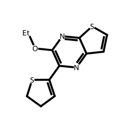 CCOc1nc2sccc2nc1C1=CCCS1